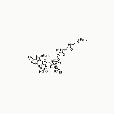 CCC(C)(O)CC.CCCCCSCCNC(=O)CCNC(=O)C(O)C(C)(C)COP(=O)(O)OP(=O)(O)OC[C@H]1O[C@@H](n2c(CCCCC)nc3c(N)ncnc32)[C@H](O)[C@@H]1OP(=O)(O)O